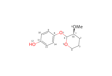 CO[C@H]1CCCOC1Oc1ccc(O)cc1